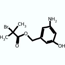 CC(C)(Br)C(=O)OCc1cc(N)cc(O)c1